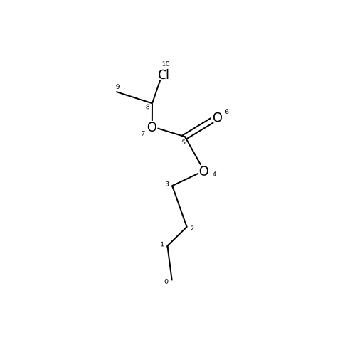 CCCCOC(=O)OC(C)Cl